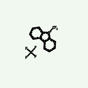 FC(F)(F)[s+]1c2ccccc2c2ccccc21.F[B-](F)(F)F